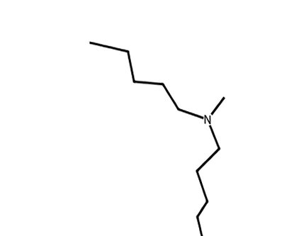 [CH2]CCCCN(C)CCCCC